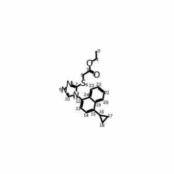 CCOC(=O)CSc1nncn1-c1ccc(C2CC2)c2ccccc12